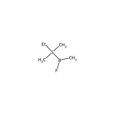 CCS(C)(C)B(C)F